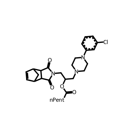 CCCCCC(=O)OC(CN1CCN(c2cccc(Cl)c2)CC1)CN1C(=O)C2C3C=CC(C3)C2C1=O